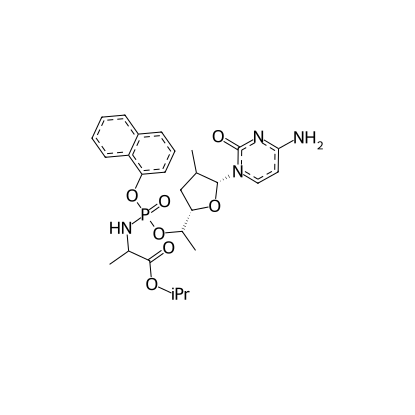 CC(C)OC(=O)C(C)NP(=O)(Oc1cccc2ccccc12)OC(C)[C@@H]1CC(C)[C@H](n2ccc(N)nc2=O)O1